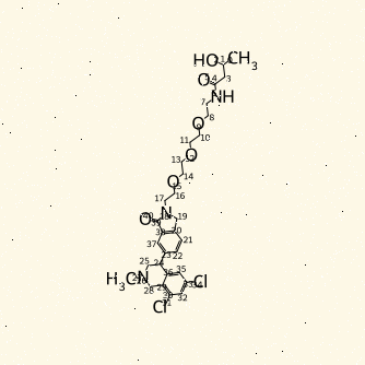 CC(O)CC(=O)NCCOCCOCCOCCN1Cc2ccc(C3CN(C)Cc4c(Cl)cc(Cl)cc43)cc2C1=O